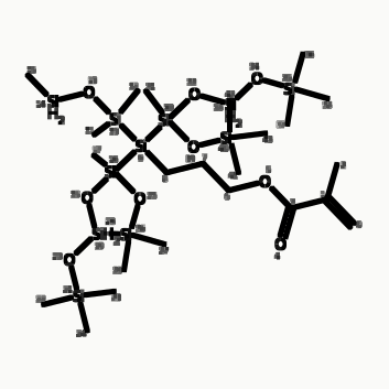 C=C(C)C(=O)OCCC[Si]([Si](C)(C)O[SiH2]C)([Si](C)(O[SiH2]O[Si](C)(C)C)O[Si](C)(C)C)[Si](C)(O[SiH2]O[Si](C)(C)C)O[Si](C)(C)C